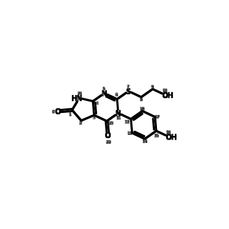 O=C1Cc2c(nc(SCCO)n(-c3ccc(O)cc3)c2=O)N1